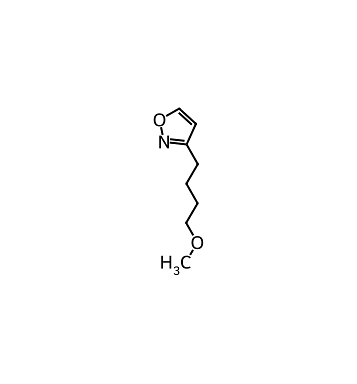 COCCCCc1ccon1